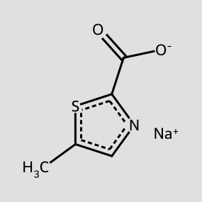 Cc1cnc(C(=O)[O-])s1.[Na+]